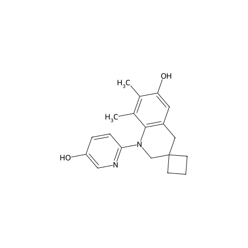 Cc1c(O)cc2c(c1C)N(c1ccc(O)cn1)CC1(CCC1)C2